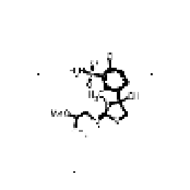 COC(C)C/N=C1/SCC(O)(c2ccc(Cl)c(S(N)(=O)=O)c2)N1C